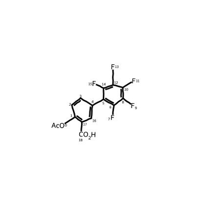 CC(=O)Oc1ccc(-c2c(F)c(F)c(F)c(F)c2F)cc1C(=O)O